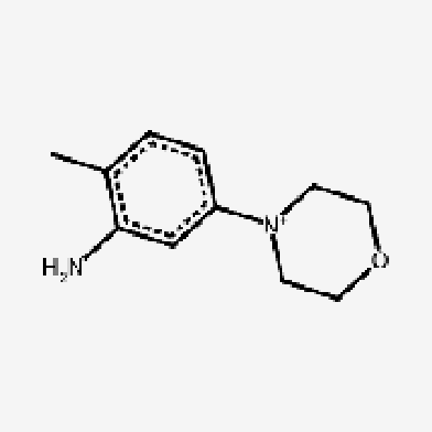 Cc1ccc([N+]2CCOCC2)cc1N